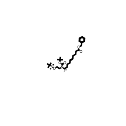 C[C@@H](CCCC=CCCCC(=O)OCc1ccccc1)N(CCO[Si](C)(C)C(C)(C)C)C(=O)OC(C)(C)C